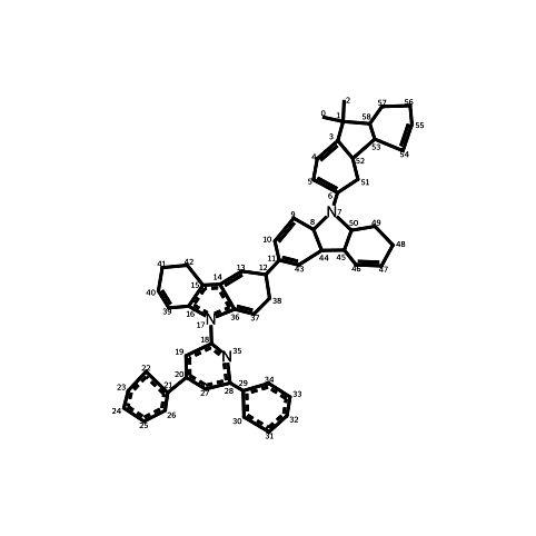 CC1(C)C2=CC=C(N3C4C=CC(C5C=c6c7c(n(-c8cc(-c9ccccc9)cc(-c9ccccc9)n8)c6=CC5)C=CCC7)=CC4C4C=CCCC43)CC2C2C=CCCC21